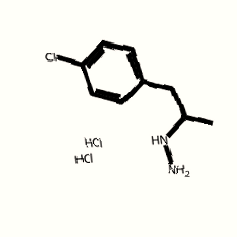 CC(Cc1ccc(Cl)cc1)NN.Cl.Cl